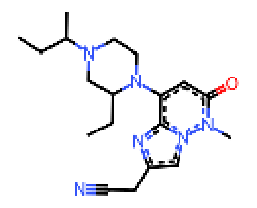 CCC(C)N1CCN(c2cc(=O)n(C)n3cc(CC#N)nc23)C(CC)C1